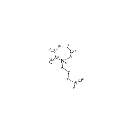 CC(=O)CCCN1COCCC(C)C1=O